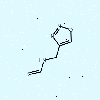 S=CNCc1conn1